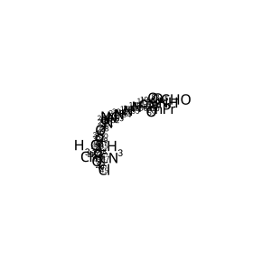 CCCC(C(=O)NC=O)N1C(=O)c2ccc(N3CC(N4CC(N5CCN(c6nccc(COc7ccc(C(C)(C)c8cc(Cl)c(OCCCl)c(C#N)c8)cc7)n6)CC5)C4)C3)cc2C1=O